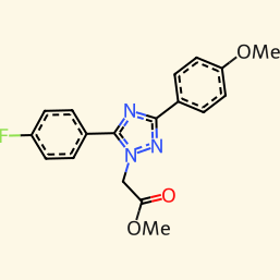 COC(=O)Cn1nc(-c2ccc(OC)cc2)nc1-c1ccc(F)cc1